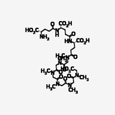 CN(CC(=O)O)C(=O)CN(C)C(=O)CN(C)C(=O)CN(C)C(=O)CN(C)C(=O)CN(C)C(=O)CC[C@H](NC(=O)CC[C@H](NC(=O)CC[C@H](N)C(=O)O)C(=O)O)C(=O)O